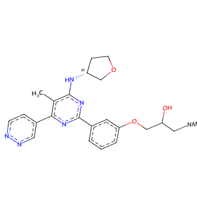 CNCC(O)COc1cccc(-c2nc(N[C@@H]3CCOC3)c(C)c(-c3ccnnc3)n2)c1